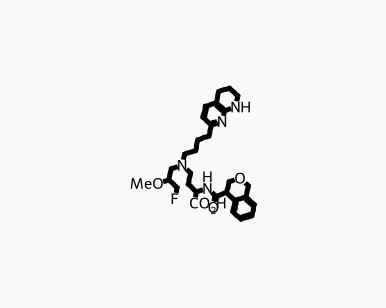 COC(CF)CN(CCCCc1ccc2c(n1)NCCC2)CCC(NC(=O)C1COCc2ccccc21)C(=O)O